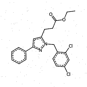 CCOC(=O)CCc1cc(-c2ccccc2)nn1Cc1ccc(Cl)cc1Cl